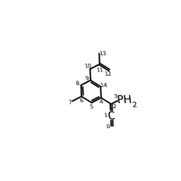 C=C=C(P)c1cc(C)cc(CC(=C)C)c1